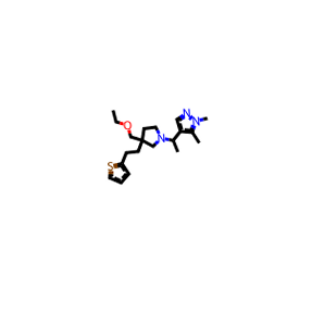 CCOCC1(CCc2cccs2)CCN(C(C)c2cnn(C)c2C)C1